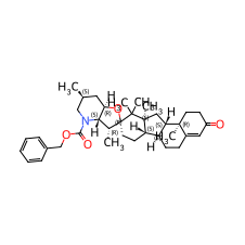 C[C@H]1C[C@H]2O[C@]3(CC[C@H]4[C@@H]5CCC6=CC(=O)CC[C@]6(C)[C@H]5C[C@]4(C)C3(C)C)[C@H](C)[C@@H]2N(C(=O)OCc2ccccc2)C1